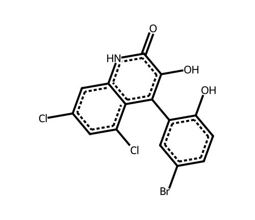 O=c1[nH]c2cc(Cl)cc(Cl)c2c(-c2cc(Br)ccc2O)c1O